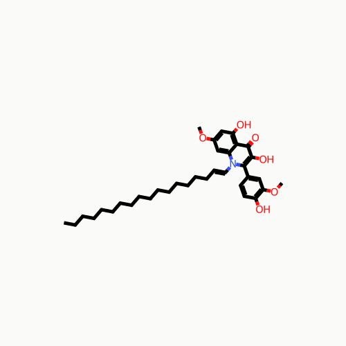 CCCCCCCCCCCCCCCCC=Cn1c(-c2ccc(O)c(OC)c2)c(O)c(=O)c2c(O)cc(OC)cc21